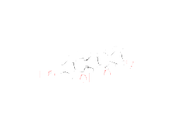 COc1ccc(C(C)c2cc(C(C)c3ccc(CO)cc3)c(CO)cc2CO)cc1